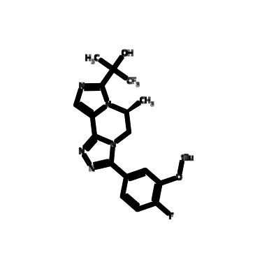 C[C@H]1Cn2c(-c3ccc(F)c(OC(C)(C)C)c3)nnc2-c2cnc(C(C)(O)C(F)(F)F)n21